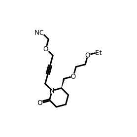 CCOCCOC[C@H]1CCCC(=O)N1CC#CCOCC#N